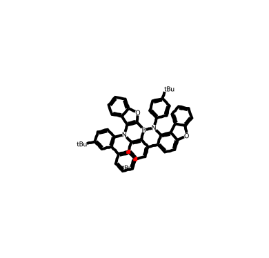 CC(C)(C)c1ccc(N2B3c4oc5ccccc5c4N(c4ccc(C(C)(C)C)cc4-c4ccccc4)c4cc(C(C)(C)C)cc(c43)-c3ccc4oc5ccccc5c4c32)cc1